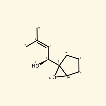 CC(C)=C[C@H](O)C12CCCC1O2